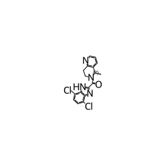 C[C@@H]1c2cccnc2CCN1C(=O)c1nc2c(Cl)ccc(Cl)c2[nH]1